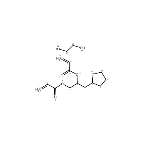 C=CC(=O)OCC(CC1CCCO1)OC(=O)C=C.OCCO